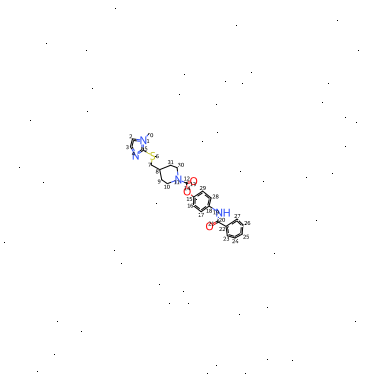 Cn1ccnc1SCC1CCN(C(=O)Oc2ccc(NC(=O)c3ccccc3)cc2)CC1